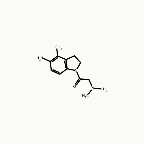 Cc1c(N)ccc2c1CCN2C(=O)CN(C)C